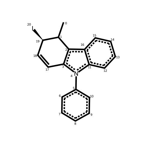 CC1c2c(n(-c3ccccc3)c3ccccc23)C=C[C@H]1I